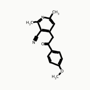 COc1ccc(C(=O)Cc2cc(C)nc(C)c2C#N)cc1